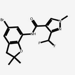 Cn1cc(C(=O)Nc2cc(Br)cc3c2OC(C)(C)C3)c(C(F)F)n1